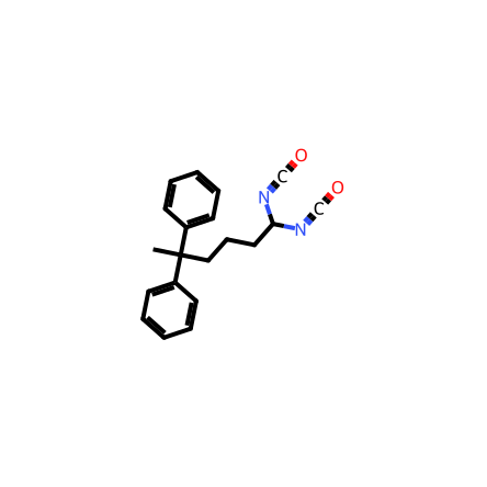 CC(CCCC(N=C=O)N=C=O)(c1ccccc1)c1ccccc1